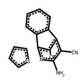 N#Cc1c(N)nc2c(C#N)c1-c1ccccc1-2.c1ccsc1